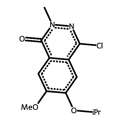 COc1cc2c(=O)n(C)nc(Cl)c2cc1OC(C)C